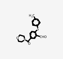 Cc1ccc(Sc2ccc(C(=O)N3CCOCC3)cc2C=O)cc1